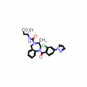 CCOC(=O)CCNC(=O)N1Cc2ccccc2N(C(=O)c2ccc(-n3cccn3)cc2Cl)C[C@H]1C